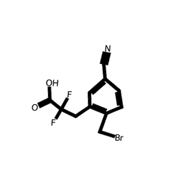 N#Cc1ccc(CBr)c(CC(F)(F)C(=O)O)c1